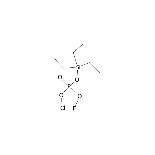 CC[Si](CC)(CC)OP(=O)(OF)OCl